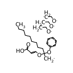 [CH2]C(CCCCCCCCC)(OC=CC(=O)O)Oc1ccccc1.[CH2]C[O].[CH2]C[O].[CH2]C[O]